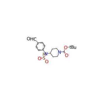 CC(C)(C)OC(=O)N1CCC(N(c2ccc(C=O)cc2)[SH](=O)=O)CC1